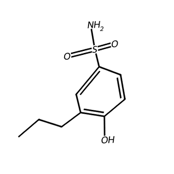 CCCc1cc(S(N)(=O)=O)ccc1O